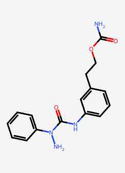 NC(=O)OCCc1cccc(NC(=O)N(N)c2ccccc2)c1